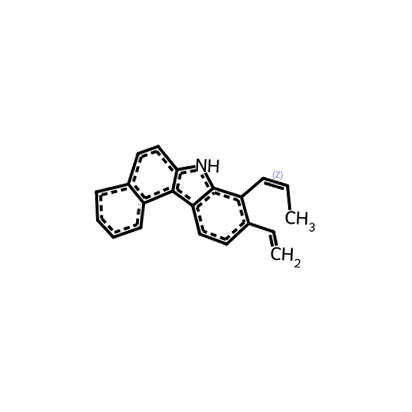 C=Cc1ccc2c([nH]c3ccc4ccccc4c32)c1/C=C\C